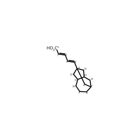 O=C(O)/C=C/C=C/C12CC3CCCC(C1)C(C3)C2